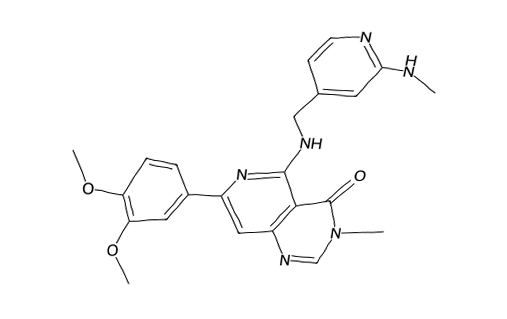 CNc1cc(CNc2nc(-c3ccc(OC)c(OC)c3)cc3ncn(C)c(=O)c23)ccn1